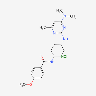 Cc1cc(N(C)C)nc(N[C@H]2CC[C@@H](NC(=O)c3ccc(OC(F)(F)F)cc3)CC2)n1.Cl